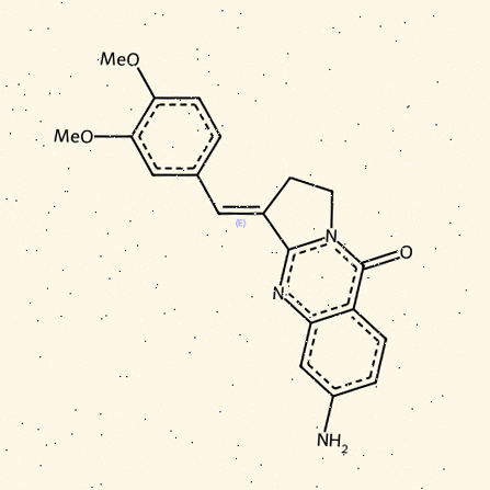 COc1ccc(/C=C2\CCn3c2nc2cc(N)ccc2c3=O)cc1OC